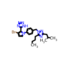 CCCCc1nc(CC(C)C)nn1Cc1ccc(-n2ccc(Br)c2-c2nnn[nH]2)cc1